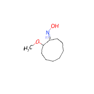 COC1CCCCCCC/C1=N\O